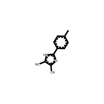 Cc1ccc(-c2nc(C#N)c(C#N)[nH]2)cc1